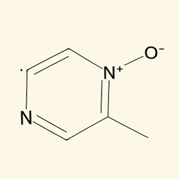 Cc1cn[c]c[n+]1[O-]